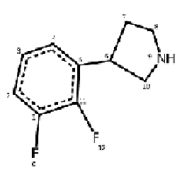 Fc1cccc(C2CCNC2)c1F